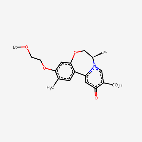 CCOCCOc1cc2c(cc1C)-c1cc(=O)c(C(=O)O)cn1[C@H](C(C)C)CO2